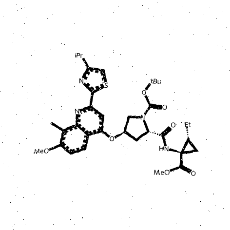 CC[C@@H]1C[C@]1(NC(=O)[C@@H]1C[C@@H](Oc2cc(-c3nc(C(C)C)cs3)nc3c(C)c(OC)ccc23)CN1C(=O)OC(C)(C)C)C(=O)OC